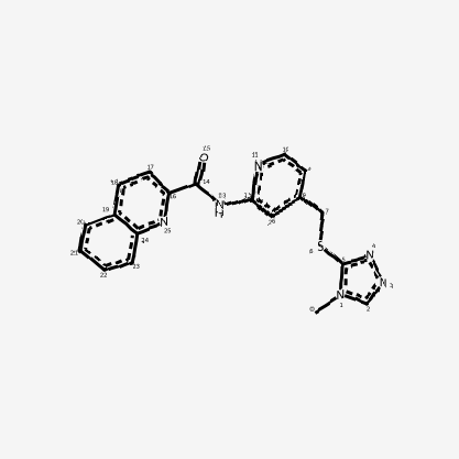 Cn1cnnc1SCc1ccnc(NC(=O)c2ccc3ccccc3n2)c1